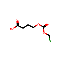 O=C(O)CCCOC(=O)OCCl